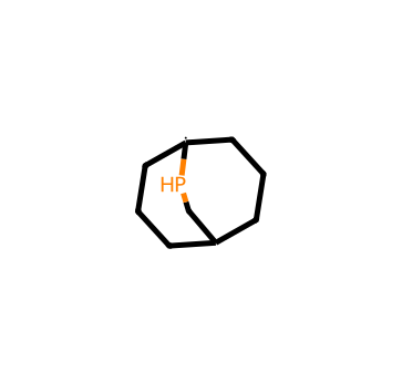 C1C[C]2CCCC(C1)CP2